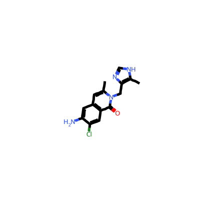 Cc1[nH]cnc1Cn1c(C)cc2cc(N)c(Cl)cc2c1=O